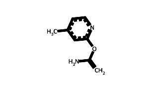 C=C(N)Oc1cc(C)ccn1